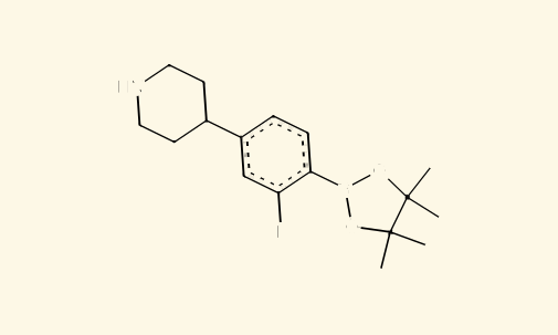 CC1(C)OB(c2ccc(C3CCNCC3)cc2F)OC1(C)C